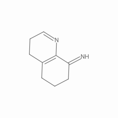 N=C1CCCC2=C1N=CCC2